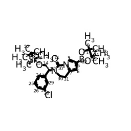 CC1(C)OB(c2cc3n(c2)C(=O)N([C@H](CO[Si](C)(C)C(C)(C)C)c2cccc(Cl)c2)CC3)OC1(C)C